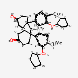 CCCC(C1(c2ccc(OC)c(OC3CCCC3)c2)CCC(=O)CC1)C1(c2ccc(OC)c(OC3CCCC3)c2)CCC(=O)CC1